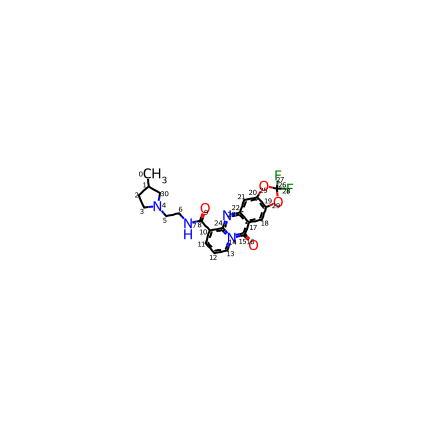 CC1CCN(CCNC(=O)c2cccn3c(=O)c4cc5c(cc4nc23)OC(F)(F)O5)C1